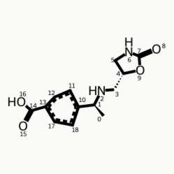 C[C@H](NC[C@@H]1CNC(=O)O1)c1ccc(C(=O)O)cc1